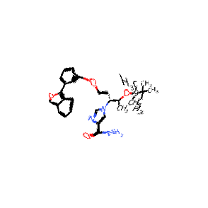 C[C@H](O[Si](C)(C)C(C)(C)C)[C@@H](CCOc1cccc(-c2occ3ccccc23)c1)n1cnc(C(N)=O)c1